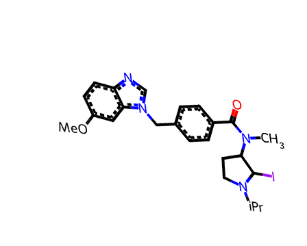 COc1ccc2ncn(Cc3ccc(C(=O)N(C)C4CCN(C(C)C)C4I)cc3)c2c1